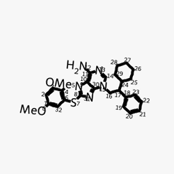 COc1ccc(OC)c(Sc2nc3c(N)ncn(CC(c4ccccc4)C4CCCCC4)c-3n2)c1